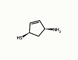 N[C@@H]1C=C[C@H](S)C1